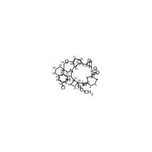 CO[C@H]1[C@@H]2CCC[C@@H](C2)S(=O)(=O)NC(=O)c2ccc3c(c2)N(C[C@@H]2CC[C@H]21)C[C@@]1(CCCc2cc(Cl)ccc21)CO3